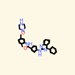 Cc1ccc(CON2CCNCC2)cc1NC(=O)c1ccc(Nc2nc(-c3ccccc3)c3ccccc3n2)cc1